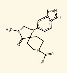 BC(=O)N1CCC2(CC1)C(=O)N(C)CN2c1ccc2[nH]ncc2c1